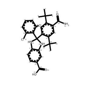 CC(C)(C)c1cc(C2(c3c(Cl)cccc3Cl)Nc3ccc(C(=O)O)cc3N2)c(C(C)(C)C)cc1C(N)=O